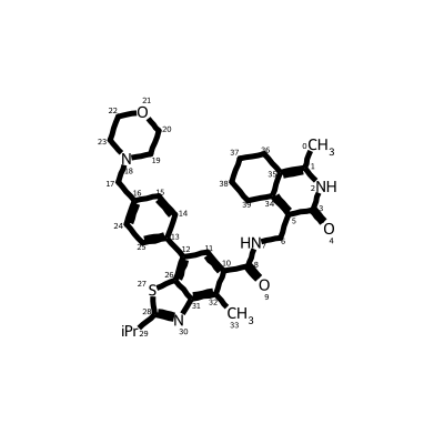 Cc1[nH]c(=O)c(CNC(=O)c2cc(-c3ccc(CN4CCOCC4)cc3)c3sc(C(C)C)nc3c2C)c2c1CCCC2